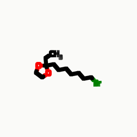 CCC1(CCCCCCCBr)OCCO1